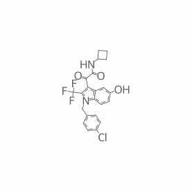 O=C(NC1CCC1)C(=O)c1c(C(F)(F)F)n(Cc2ccc(Cl)cc2)c2ccc(O)cc12